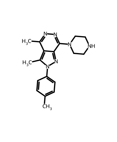 Cc1ccc(-n2nc3c(N4CCNCC4)nnc(C)c3c2C)cc1